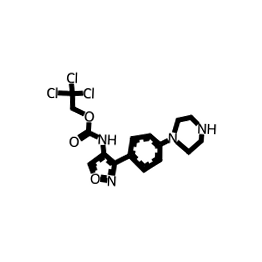 O=C(Nc1conc1-c1ccc(N2CCNCC2)cc1)OCC(Cl)(Cl)Cl